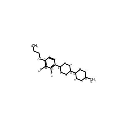 CCCOc1ccc(C2CCC(C3CCC(C)CC3)CC2)c(F)c1F